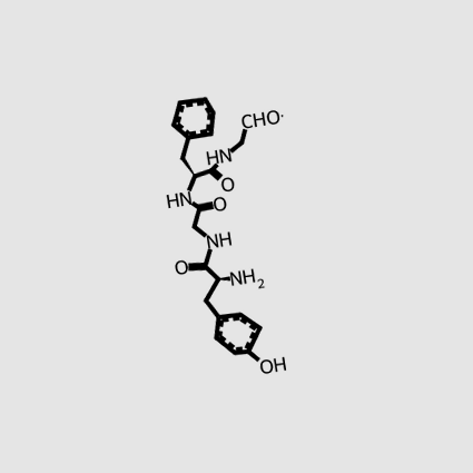 N[C@@H](Cc1ccc(O)cc1)C(=O)NCC(=O)N[C@@H](Cc1ccccc1)C(=O)NC[C]=O